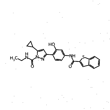 CCNC(=O)n1nc(-c2ccc(NC(=O)c3cc4ccccc4s3)cc2O)cc1C1CC1